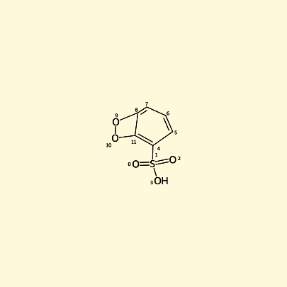 O=S(=O)(O)c1cccc2ooc12